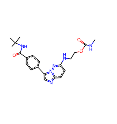 CNC(=O)OCCNc1ccc2ncc(-c3ccc(C(=O)NC(C)(C)C)cc3)n2n1